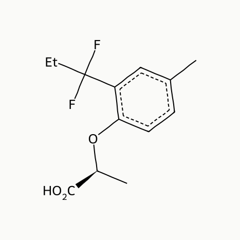 CCC(F)(F)c1cc(C)ccc1O[C@@H](C)C(=O)O